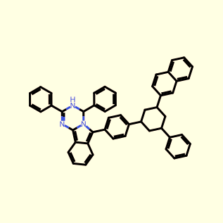 c1ccc(C2=Nc3c4ccccc4c(-c4ccc(C5CC(c6ccccc6)CC(c6ccc7ccccc7c6)C5)cc4)n3C(c3ccccc3)N2)cc1